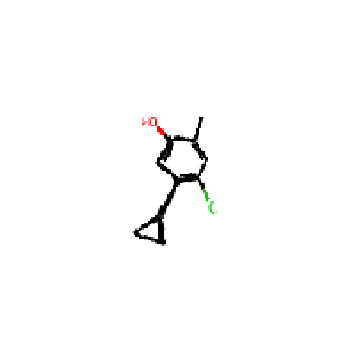 Cc1cc(Cl)c(C2CC2)cc1O